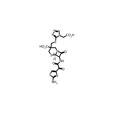 Nc1nc(C(=O)C(=O)NC2C(=O)N3CC(CSc4nnnn4CC(=O)O)(C(=O)O)CS[C@H]23)cs1